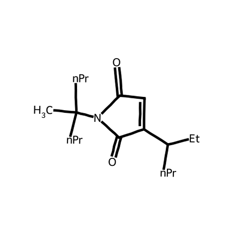 CCCC(CC)C1=CC(=O)N(C(C)(CCC)CCC)C1=O